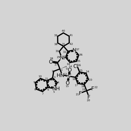 C[C@@](Cc1c[nH]c2ccccc12)(NS(=O)(=O)c1cc(C(F)(F)F)ccc1Cl)C(=O)NCC1(c2ccccn2)CCCCC1